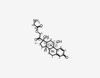 C[C@H]1C[C@H]2[C@@H]3CCC4=CC(=O)C=C[C@]4(C)[C@@]3(Cl)[C@@H](O)C[C@]2(C)[C@@]1(O)C(=O)COC(=O)CN